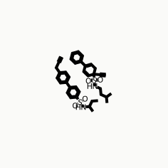 C#CC1(S(=O)(=O)NCCC(C)C)C=CC(c2ccccc2)=CC1.C#CCc1ccc(-c2ccc(S(=O)(=O)NC(C)CC)cc2)cc1